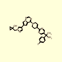 CC(N)(c1ccc(F)cc1)c1cnc(C2=CCN(c3ncnn4cc(-c5cnn(CC6(O)CC6)c5)cc34)CC2)nc1